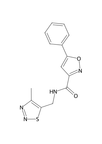 Cc1nnsc1CNC(=O)c1cc(-c2ccccc2)on1